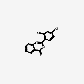 O=c1[nH]c(-c2ccc(Cl)cc2Cl)nc2ccccc12